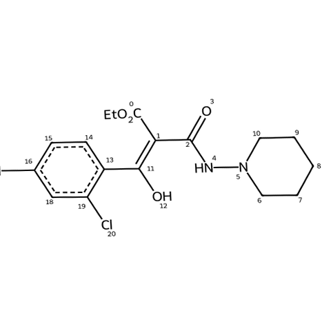 CCOC(=O)C(C(=O)NN1CCCCC1)=C(O)c1ccc(Cl)cc1Cl